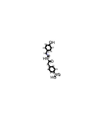 O=C(Cc1ccc([N+](=O)O)cc1)N/N=C/c1ccc(O)cc1